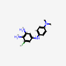 CN(C)c1ccc(Nc2cc(N)c(N)c(F)c2)cc1